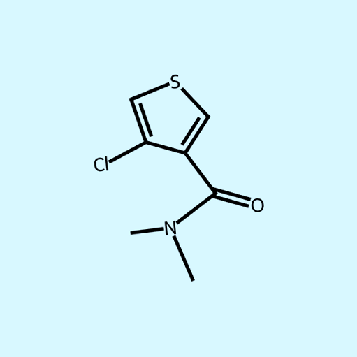 CN(C)C(=O)c1cscc1Cl